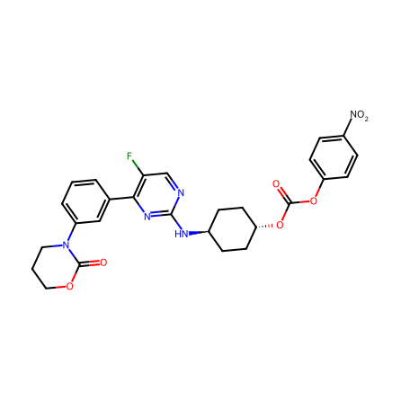 O=C(Oc1ccc([N+](=O)[O-])cc1)O[C@H]1CC[C@H](Nc2ncc(F)c(-c3cccc(N4CCCOC4=O)c3)n2)CC1